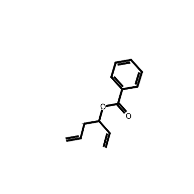 C=C[CH]C(C=C)OC(=O)c1ccccc1